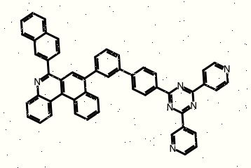 c1cncc(-c2nc(-c3ccncc3)nc(-c3ccc(-c4cccc(-c5cc6c(-c7ccc8ccccc8c7)nc7ccccc7c6c6ccccc56)c4)cc3)n2)c1